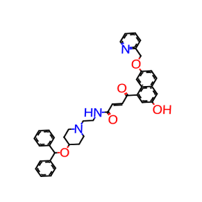 O=C(/C=C/C(=O)c1cc(O)cc2ccc(OCc3ccccn3)cc12)NCCN1CCC(OC(c2ccccc2)c2ccccc2)CC1